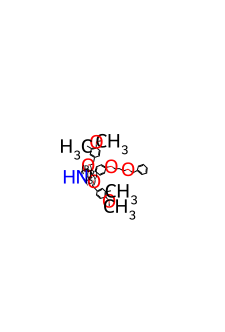 COc1ccc(CO[C@H]2CNC[C@@H](OCc3ccc(OC)c(C)c3)[C@H]2c2ccc(OCCCOCc3ccccc3)cc2)cc1C